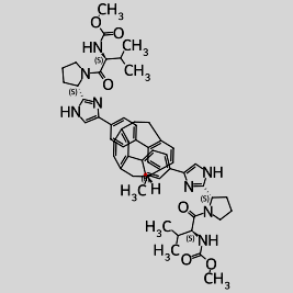 COC(=O)N[C@H](C(=O)N1CCC[C@H]1c1nc(-c2ccc(-c3cc4ccc3CCc3ccc(c(-c5ccc(-c6c[nH]c([C@@H]7CCCN7C(=O)[C@@H](NC(=O)OC)C(C)C)n6)cc5)c3)C[C@H]4C)cc2)c[nH]1)C(C)C